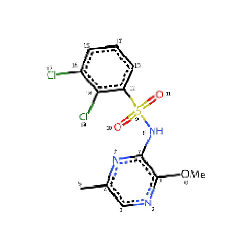 COc1ncc(C)nc1NS(=O)(=O)c1cccc(Cl)c1Cl